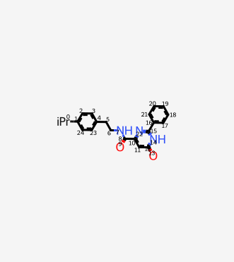 CC(C)c1ccc(CCNC(=O)c2cc(=O)[nH]c(-c3ccccc3)n2)cc1